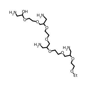 CCOCCOC(CN)COCCOC(CN)COCCOC(CN)COCCOC(O)CN